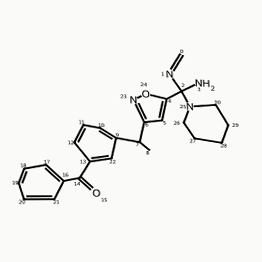 C=NC(N)(c1cc(C(C)c2cccc(C(=O)c3ccccc3)c2)no1)N1CCCCC1